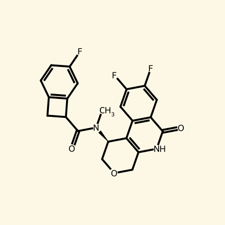 CN(C(=O)C1Cc2ccc(F)cc21)[C@@H]1COCc2[nH]c(=O)c3cc(F)c(F)cc3c21